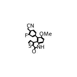 COc1ccc2[nH]c(=O)c3sccc3c2c1-c1ccc(CC#N)c(F)c1